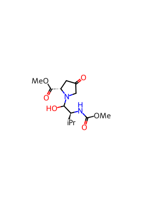 COC(=O)N[C@@H](C(C)C)C(O)N1CC(=O)C[C@H]1C(=O)OC